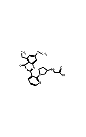 CCc1cc(OC)cc2nc(-c3cccnc3N3CCC(NCC(N)=O)C3)oc(=O)c12